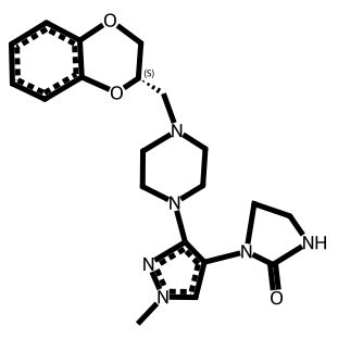 Cn1cc(N2CCNC2=O)c(N2CCN(C[C@H]3COc4ccccc4O3)CC2)n1